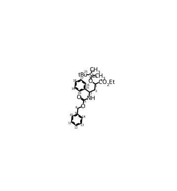 CCOC(=O)C(CC(NC(=O)OCc1ccccc1)c1ccccc1)O[Si](C)(C)C(C)(C)C